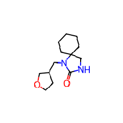 O=C1NCC2(CCCCC2)N1CC1CCOC1